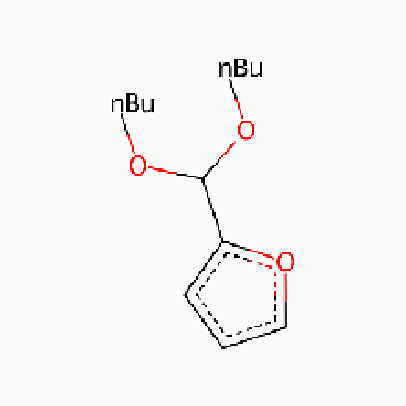 CCCCOC(OCCCC)c1ccco1